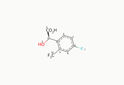 O=C(O)[C@H](O)c1ccc(F)cc1C(F)(F)F